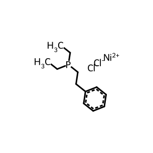 CCP(CC)CCc1ccccc1.[Cl-].[Cl-].[Ni+2]